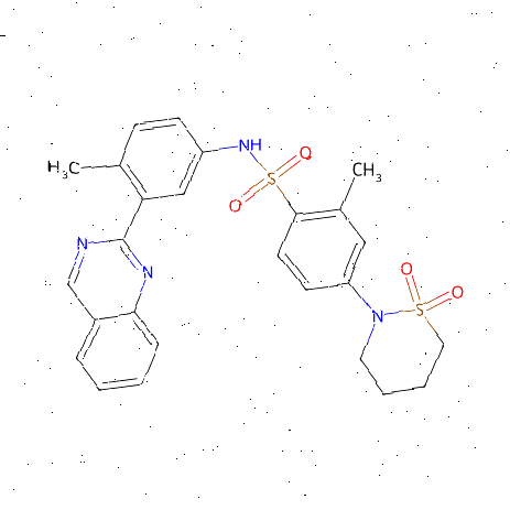 Cc1ccc(NS(=O)(=O)c2ccc(N3CCCCS3(=O)=O)cc2C)cc1-c1ncc2ccccc2n1